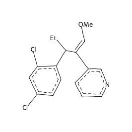 CCC(C(=COC)c1cccnc1)c1ccc(Cl)cc1Cl